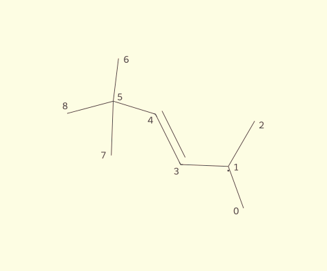 C[C](C)/C=C/C(C)(C)C